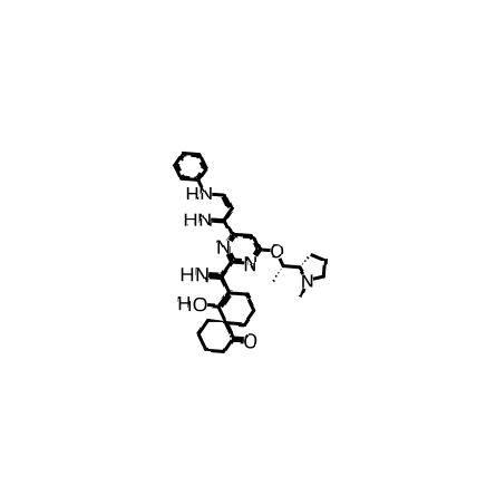 C[C@H](Oc1cc(C(=N)/C=C\Nc2ccccc2)nc(C(=N)C2=C(O)[C@]3(CCCCC3=O)CCC2)n1)[C@@H]1CCCN1C